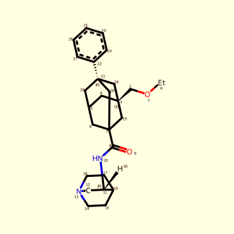 CCOC[C@]12CC3CC(C(=O)N[C@H]4CN5CCC4CC5)(C1)C[C@@](c1ccccc1)(C3)C2